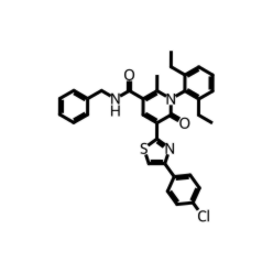 CCc1cccc(CC)c1-n1c(C)c(C(=O)NCc2ccccc2)cc(-c2nc(-c3ccc(Cl)cc3)cs2)c1=O